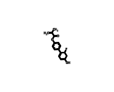 C=C(C)C(=O)Oc1ccc(C2=CC=C(O)CC2F)cc1